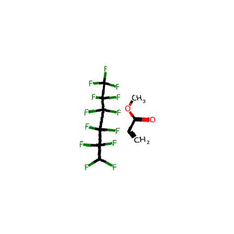 C=CC(=O)OC.F[C](F)C(F)(F)C(F)(F)C(F)(F)C(F)(F)C(F)(F)F